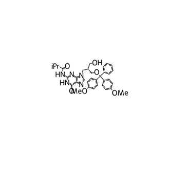 COc1ccc(C(OC[C@H](CO)Cn2cnc3c(=O)[nH]c(NC(=O)C(C)C)nc32)(c2ccccc2)c2ccc(OC)cc2)cc1